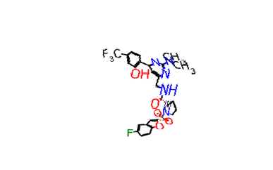 CN(C)c1nc(CNC(=O)[C@@H]2CCCN2S(=O)(=O)c2cc3cc(F)ccc3o2)cc(-c2ccc(C(F)(F)F)cc2O)n1